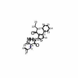 C=C(C)/C=C(/C(=O)Nc1scc(-c2ccccc2)c1C(=O)CCC)N(C)N